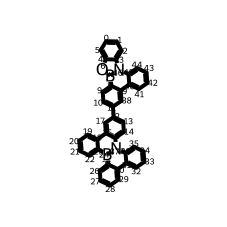 c1ccc2c(c1)OB1c3ccc(-c4ccc5c(c4)-c4ccccc4B4c6ccccc6-c6ccccc6N45)cc3-c3ccccc3N12